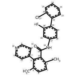 Cc1ccc(C)c(-c2ccncc2)c1C(=O)Nc1ccc(-c2ccccc2Cl)c(F)c1